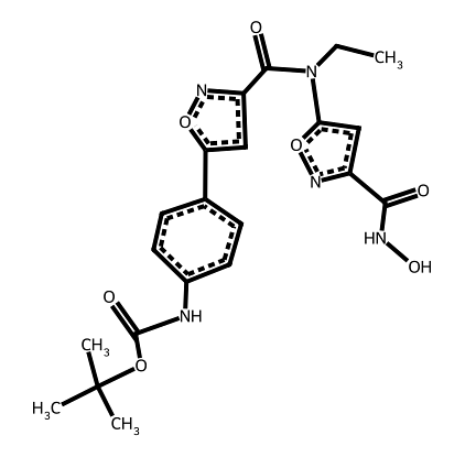 CCN(C(=O)c1cc(-c2ccc(NC(=O)OC(C)(C)C)cc2)on1)c1cc(C(=O)NO)no1